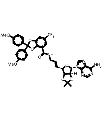 COc1ccc(C2(c3ccc(OC)cc3)Oc3cc(C(F)(F)F)cc(C(=O)NC/C=C/[C@H]4O[C@@H](n5cnc6c(N)ncnc65)[C@H]5OC(C)(C)OC45)c3O2)cc1